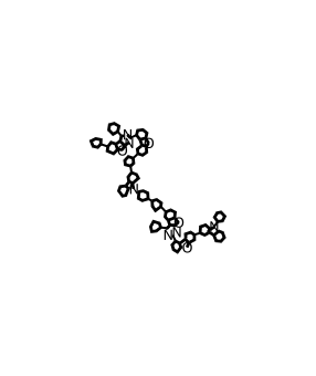 c1ccc(-c2ccc3oc4nc(-c5cccc6oc7ccc(-c8cccc(-c9ccc%10c(c9)c9ccccc9n%10-c9ccc(-c%10ccc(-c%11ccc%12oc%13nc(-c%14cccc%15oc%16cc(-c%17ccc%18c(c%17)c%17ccccc%17n%18-c%17ccccc%17)ccc%16c%14%15)nc(-c%14ccccc%14)c%13c%12c%11)cc%10)cc9)c8)cc7c56)nc(-c5ccccc5)c4c3c2)cc1